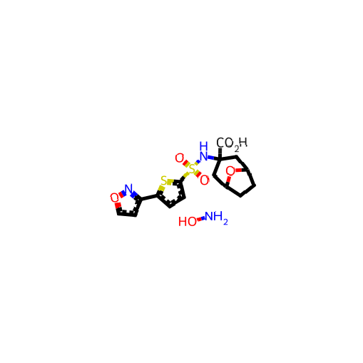 NO.O=C(O)C1(NS(=O)(=O)c2ccc(-c3ccon3)s2)CC2CCC(C1)O2